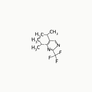 CC(C)c1cnc(C(F)(F)F)nc1C(C)C